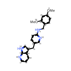 COc1ccc(CNc2ccc(Cc3c[nH]c4ncccc34)cn2)c(OC)c1